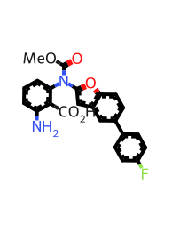 COC(=O)N(c1cc2cc(-c3ccc(F)cc3)ccc2o1)c1cccc(N)c1C(=O)O